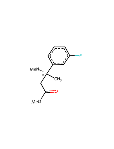 CN[C@](C)(CC(=O)OC)c1cccc(F)c1